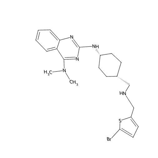 CN(C)c1nc(N[C@H]2CC[C@@H](CNCc3ccc(Br)s3)CC2)nc2ccccc12